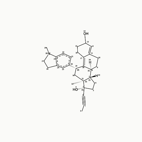 CC#C[C@]1(O)CC[C@H]2[C@@H]3CCC4=CC(O)CCC4=C3[C@@H](c3ccc4c(c3)CCN4C)C[C@@]21C